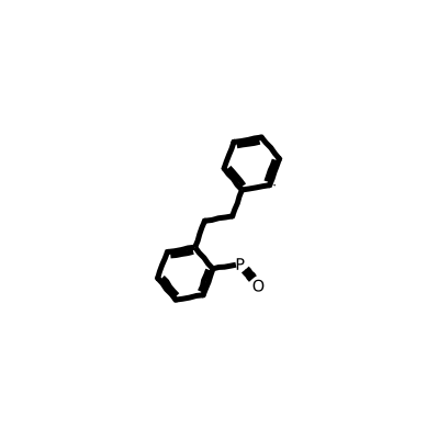 O=Pc1ccccc1CCc1[c]cccc1